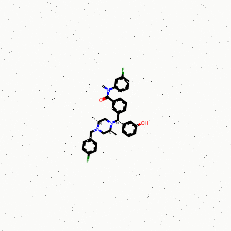 C[C@@H]1CN([C@@H](c2cccc(O)c2)c2cccc(C(=O)N(C)c3cccc(F)c3)c2)[C@@H](C)CN1Cc1ccc(F)cc1